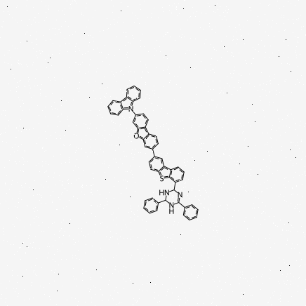 c1ccc(C2=NC(c3cccc4c3sc3ccc(-c5ccc6c(c5)oc5cc(-n7c8ccccc8c8ccccc87)ccc56)cc34)NC(c3ccccc3)N2)cc1